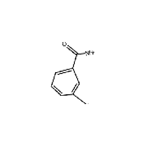 [CH2]c1cccc(C([NH])=O)c1